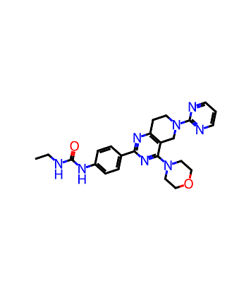 CCNC(=O)Nc1ccc(-c2nc3c(c(N4CCOCC4)n2)CN(c2ncccn2)CC3)cc1